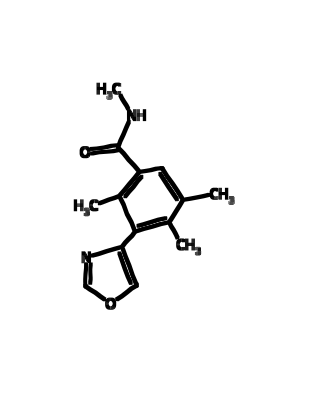 CNC(=O)c1cc(C)c(C)c(-c2cocn2)c1C